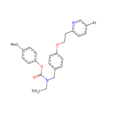 CCOC(=O)CN(Cc1ccc(OCCc2ccc(CC)cn2)cc1)C(=O)Oc1ccc(OC)cc1